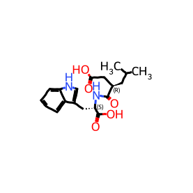 CC(C)C[C@H](CC(=O)O)C(=O)N[C@@H](Cc1c[nH]c2ccccc12)C(=O)O